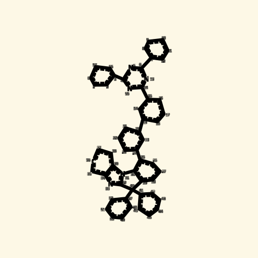 c1ccc(-c2nc(-c3ccccc3)nc(-c3cccc(-c4cccc(-c5cccc6c5-n5c(nc7ccccc75)C6(c5ccccc5)c5ccccc5)c4)c3)n2)cc1